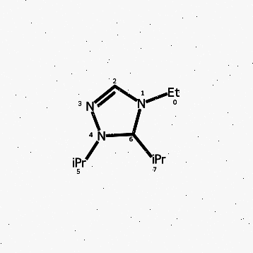 CCN1C=NN(C(C)C)C1C(C)C